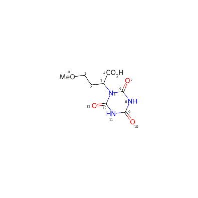 COCCC(C(=O)O)n1c(=O)[nH]c(=O)[nH]c1=O